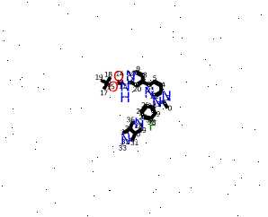 Cc1nc2ccc(-c3ccnc(NC(=O)OC(C)(C)C)c3)nc2n1-c1ccc(N2CC3CN(C)CC3C2)c(F)c1